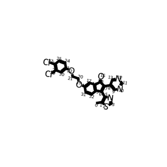 Cc1scnc1C1=C(c2cncnc2)C(=O)c2cc(OCCOc3ccc(Cl)c(Cl)c3)ccc21